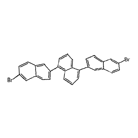 Brc1ccc2cc(-c3cccc4c(-c5ccc6cc(Br)ccc6c5)cccc34)ccc2c1